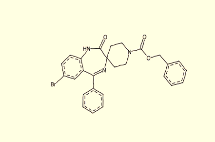 O=C(OCc1ccccc1)N1CCC2(CC1)N=C(c1ccccc1)c1cc(Br)ccc1NC2=O